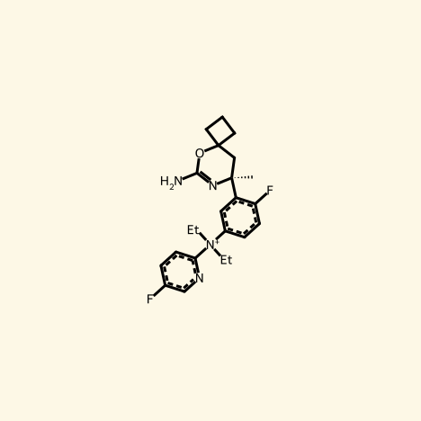 CC[N+](CC)(c1ccc(F)c([C@]2(C)CC3(CCC3)OC(N)=N2)c1)c1ccc(F)cn1